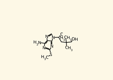 CSc1nc(N)c2ncn([C@@H](C)CC(C)(C)CO)c2n1